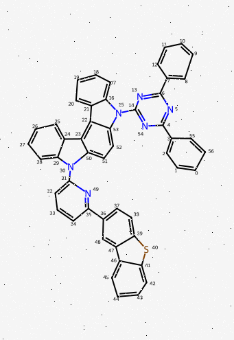 c1ccc(-c2nc(-c3ccccc3)nc(-n3c4ccccc4c4c5c6ccccc6n(-c6cccc(-c7ccc8sc9ccccc9c8c7)n6)c5ccc43)n2)cc1